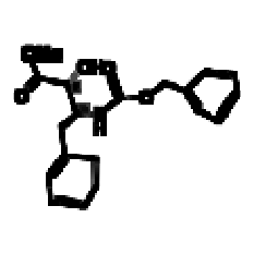 COC(=O)[C@H](O)[C@H](Cc1ccccc1)NC(=O)OCc1ccccc1